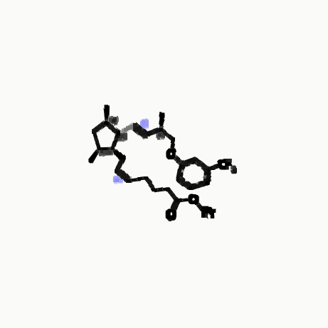 CC(C)OC(=O)CCC/C=C\C[C@@H]1[C@@H](/C=C/[C@@H](C)COc2cccc(C(F)(F)F)c2)[C@H](C)C[C@@H]1C